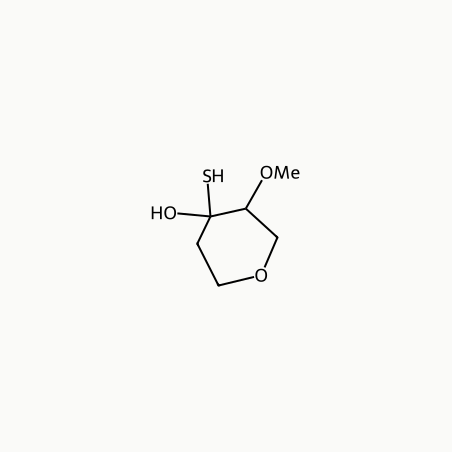 COC1COCCC1(O)S